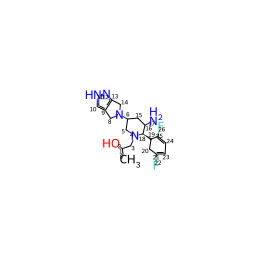 CC(O)CN1CC(N2Cc3c[nH]nc3C2)CC(N)[C@H]1C1CC(F)=CC=C1F